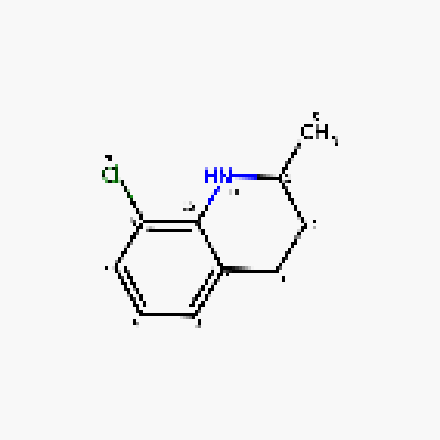 CC1CCc2cccc(Cl)c2N1